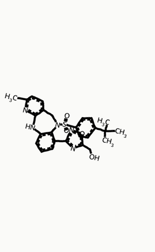 Cc1ccc2c(n1)Nc1cccc(-c3noc(CO)n3)c1N(S(=O)(=O)c1ccc(C(C)(C)C)cc1)C2